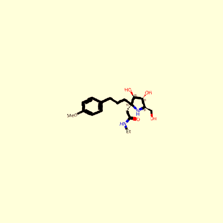 CCNC(=O)C[C@@]1(CCCc2ccc(OC)cc2)N[C@H](CO)[C@@H](O)[C@@H]1O